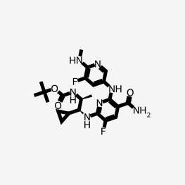 CNc1ncc(Nc2nc(N[C@H](C3CC3)[C@H](C)NC(=O)OC(C)(C)C)c(F)cc2C(N)=O)cc1F